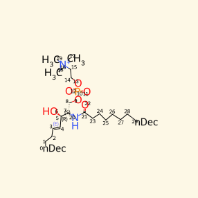 CCCCCCCCCCCC/C=C/[C@@H](O)[C@H](COP(=O)([O-])OCC[N+](C)(C)C)NC(=O)CCCCCCCCCCCCCCCC